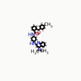 Cc1ccc(C(=O)c2ccccc2C(=O)N[C@H]2CC[C@@H](Nc3cc(N(C)C)c4ccccc4n3)CC2)cc1